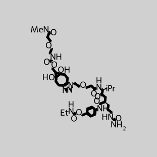 CCNC(=O)OCc1ccc(NC(=O)[C@H](CCCNC(N)=O)CC(=O)[C@@H](NC(=O)CCOCCn2nnc3c2CCC2(O)C(COC(=O)NCCOCCC(=O)NC)C2(O)CC3)C(C)C)cc1